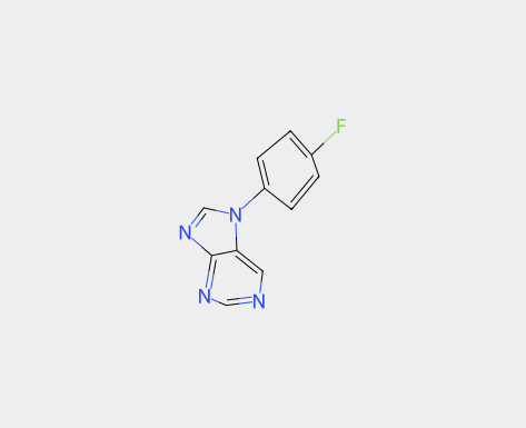 Fc1ccc(-n2cnc3ncncc32)cc1